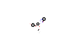 CCCCCCOc1ccc(C(=O)[C@H]2CC[C@@H](Cn3nnc4ccccc4c3=O)[C@@H]2C(=O)OCC[Si](C)(C)C)cc1